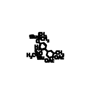 CC(=O)OC1(OC(C)=O)CCC(c2ccc(O[Si](C)(C)C(C)(C)C)cc2O[Si](C)(C)C(C)(C)C)CC1C